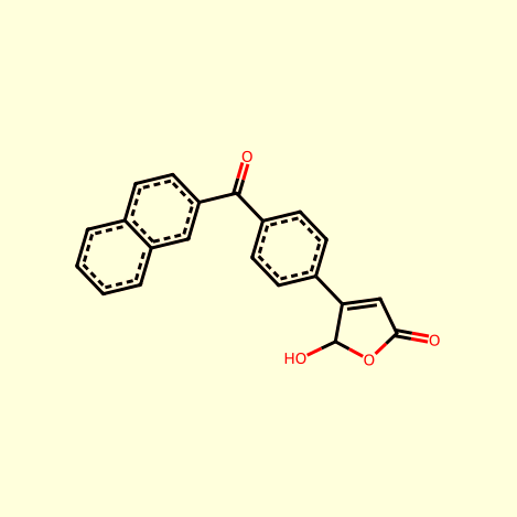 O=C1C=C(c2ccc(C(=O)c3ccc4ccccc4c3)cc2)C(O)O1